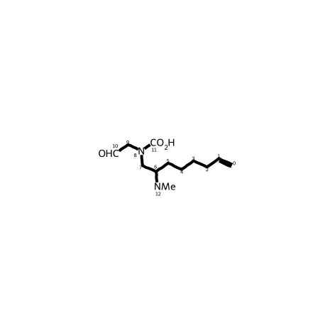 C=CCCCCC(CN(CC=O)C(=O)O)NC